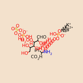 CC(C)C(N)C(=O)O.O.O.O.O.O.O.O.O=CC(O)C(O)C(O)C(O)CO.O=P([O-])(O)O.O=P([O-])([O-])O.O=S(=O)([O-])[O-].[K+].[K+].[Mg+2].[Na+]